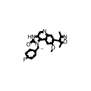 COc1cc2c(cc1-c1c(C)noc1C)ncc1[nH]c(=O)n([C@H](C)c3ccc(F)cc3)c12